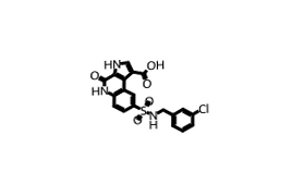 O=C(O)c1c[nH]c2c(=O)[nH]c3ccc(S(=O)(=O)NCc4cccc(Cl)c4)cc3c12